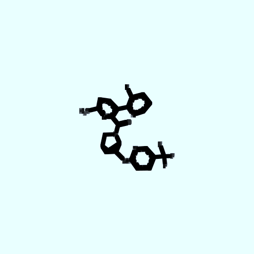 Cc1ccc(-c2ncccc2F)c(C(=O)N2CC3CCC2C(Nc2ccc(C(F)(F)F)cn2)C3)n1